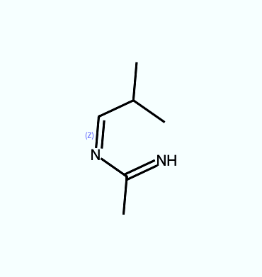 CC(=N)/N=C\C(C)C